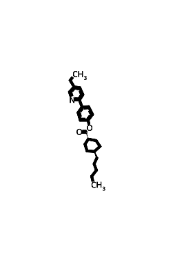 CCCCC[C@H]1CC[C@H](C(=O)Oc2ccc(-c3ccc(CC)cn3)cc2)CC1